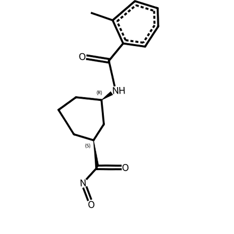 Cc1ccccc1C(=O)N[C@@H]1CCC[C@H](C(=O)N=O)C1